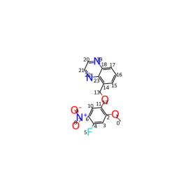 COc1cc(F)c([N+](=O)[O-])cc1OCc1cccc2nccnc12